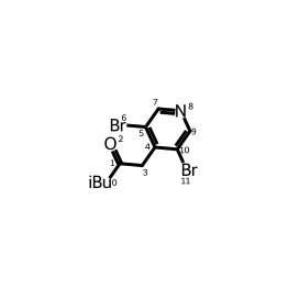 CCC(C)C(=O)Cc1c(Br)cncc1Br